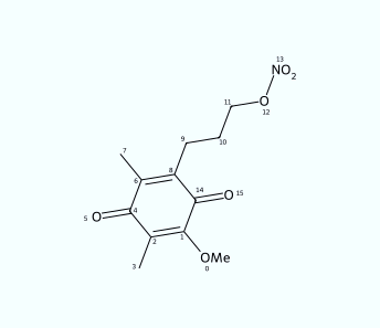 COC1=C(C)C(=O)C(C)=C(CCCO[N+](=O)[O-])C1=O